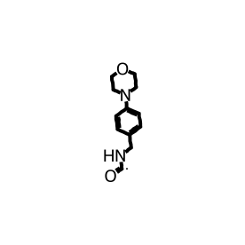 O=[C]NCc1ccc(N2CCOCC2)cc1